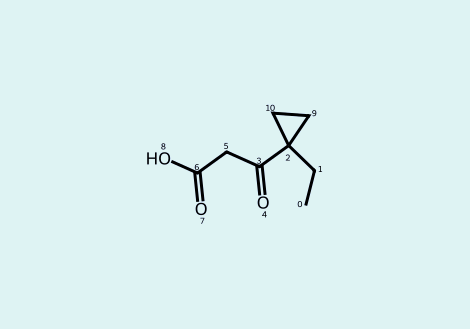 CCC1(C(=O)CC(=O)O)CC1